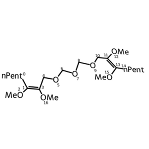 CCCCCC(OC)=C(COCOCOCC(OC)=C(CCCCC)OC)OC